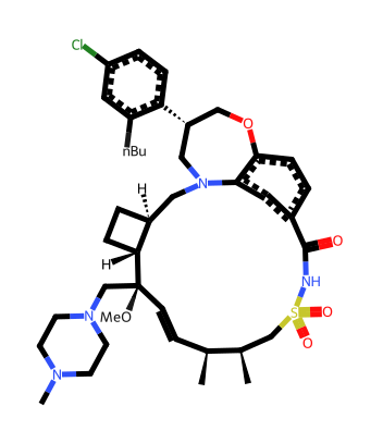 CCCCc1cc(Cl)ccc1[C@@H]1COc2ccc3cc2N(C1)C[C@@H]1CC[C@H]1[C@](CN1CCN(C)CC1)(OC)/C=C/[C@H](C)[C@H](C)CS(=O)(=O)NC3=O